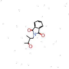 CC(=O)C(C)CN1C(=O)c2ccccc2C1=O